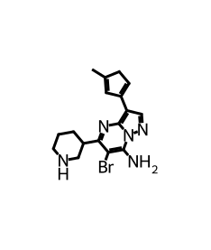 CC1=CC(c2cnn3c(N)c(Br)c(C4CCCNC4)nc23)=CC1